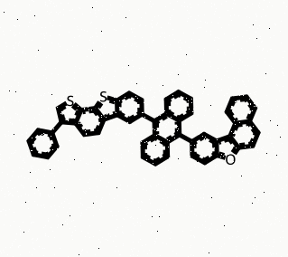 c1ccc(-c2csc3c2ccc2c4cc(-c5c6ccccc6c(-c6ccc7oc8ccc9ccccc9c8c7c6)c6ccccc56)ccc4sc23)cc1